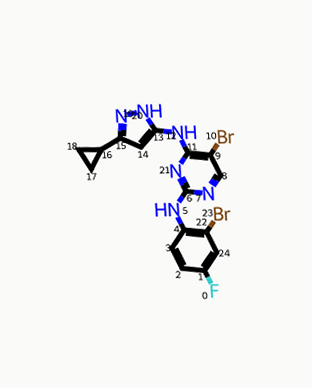 Fc1ccc(Nc2ncc(Br)c(Nc3cc(C4CC4)n[nH]3)n2)c(Br)c1